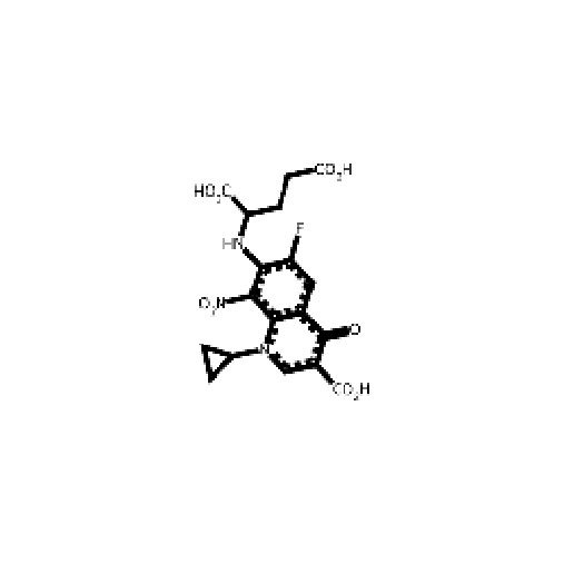 O=C(O)CCC(Nc1c(F)cc2c(=O)c(C(=O)O)cn(C3CC3)c2c1[N+](=O)[O-])C(=O)O